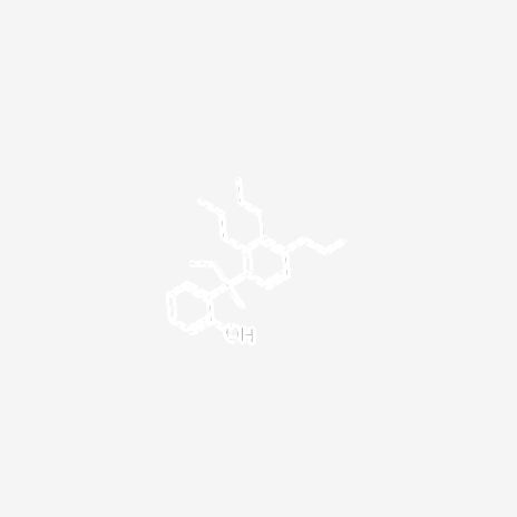 CCCc1ccc(C(C)(CC)c2ccccc2O)c(CCC)c1CCC